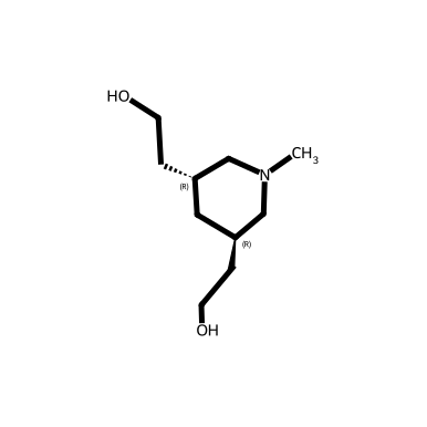 CN1C[C@@H](CCO)C[C@H](CCO)C1